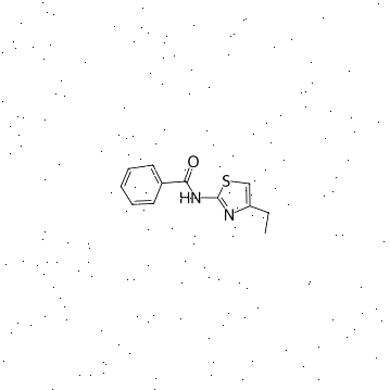 CCc1csc(NC(=O)c2ccccc2)n1